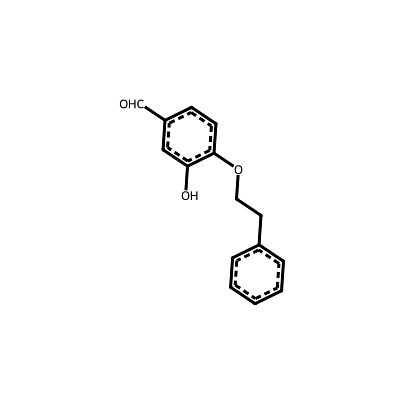 O=Cc1ccc(OCCc2ccccc2)c(O)c1